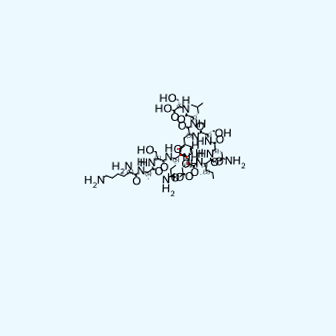 CC[C@H](C)[C@H](NC(=O)[C@H](CC(=O)O)NC(=O)[C@H](CCC(N)=O)NC(=O)[C@H](CO)NC(=O)[C@H](C)NC(=O)[C@@H](N)CCCCN)C(=O)N[C@@H](CC(N)=O)C(=O)N[C@@H](CO)C(=O)N[C@@H](Cc1ccc(O)cc1)C(=O)N[C@@H](CC(C)C)C(=O)N[C@@H](CO)C(=O)O